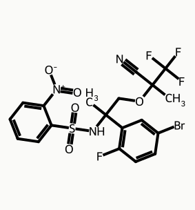 CC(COC(C)(C#N)C(F)(F)F)(NS(=O)(=O)c1ccccc1[N+](=O)[O-])c1cc(Br)ccc1F